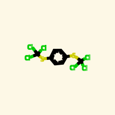 ClC(Cl)(Cl)Sc1ccc(SC(Cl)(Cl)Cl)cc1